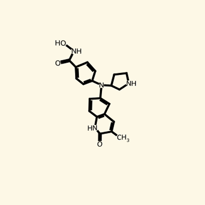 Cc1cc2cc(N(c3ccc(C(=O)NO)cc3)C3CCNC3)ccc2[nH]c1=O